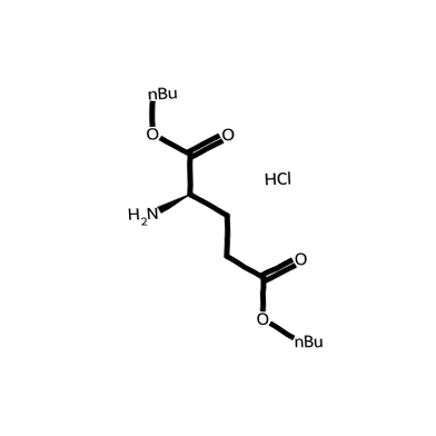 CCCCOC(=O)CC[C@@H](N)C(=O)OCCCC.Cl